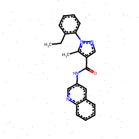 CCc1ccccc1-n1ncc(C(=O)Nc2cnc3ccccc3c2)c1C